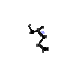 CS/C(C)=N\C=N